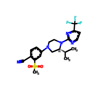 CC(C)[C@@H]1CN(c2ccc(C#N)c(S(C)(=O)=O)c2)CCN1c1nccc(C(F)(F)F)n1